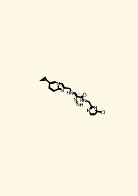 N=N/C(=C\NCc1cn2cc(C3CC3)ccc2n1)C(=O)NCc1nccc(Cl)n1